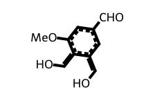 COc1cc(C=O)cc(=CO)c1=CO